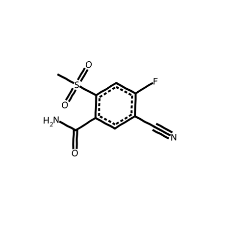 CS(=O)(=O)c1cc(F)c(C#N)cc1C(N)=O